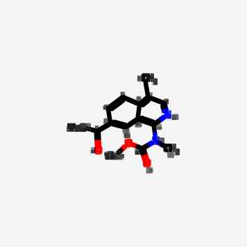 COC(=O)c1ccc2c(C)cnc(N(C)C(=O)OC(C)(C)C)c2c1